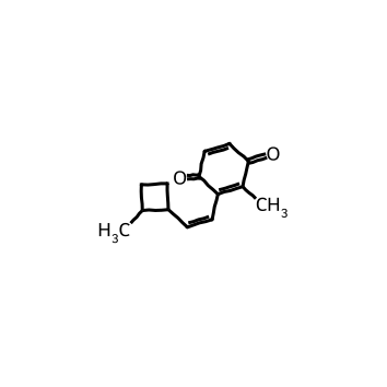 CC1=C(/C=C\C2CCC2C)C(=O)C=CC1=O